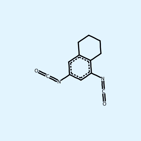 O=C=Nc1cc2c(c(N=C=O)c1)CCCC2